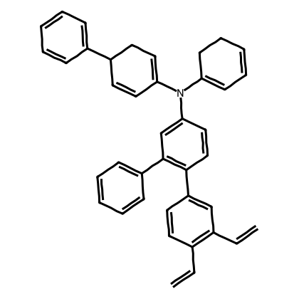 C=Cc1ccc(-c2ccc(N(C3=CCC(c4ccccc4)C=C3)C3=CC=CCC3)cc2-c2ccccc2)cc1C=C